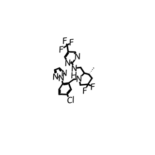 C[C@@H]1CC(F)(F)CN(Cc2cc(Cl)ccc2-n2nccn2)C1CNc1ncc(C(F)(F)F)cn1